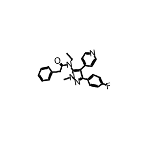 CCN(C(=O)Cc1ccccc1)c1c(-c2ccncc2)c(-c2ccc(F)cc2)nn1C